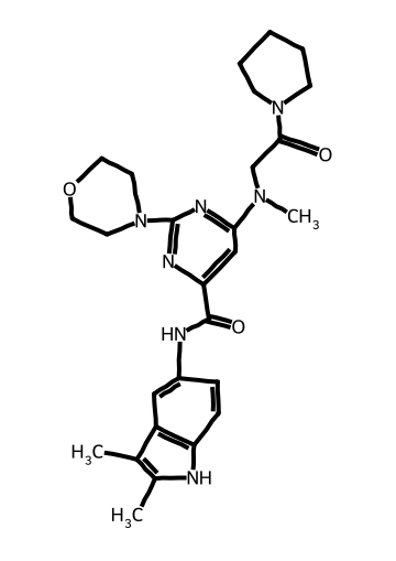 Cc1[nH]c2ccc(NC(=O)c3cc(N(C)CC(=O)N4CCCCC4)nc(N4CCOCC4)n3)cc2c1C